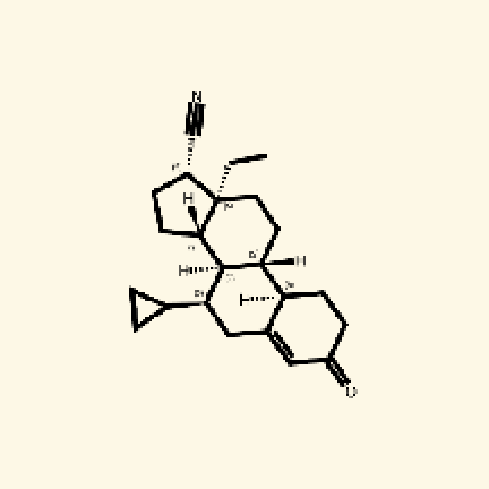 CC[C@]12CC[C@H]3[C@@H]([C@H](C4CC4)CC4=CC(=O)CC[C@@H]43)[C@@H]1CC[C@@H]2C#N